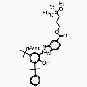 CCCCCC(C)(C)c1cc(-n2nc3ccc(C(=O)OCCC[Si](CC)(OCC)OCC)cc3n2)c(O)c(C(C)(C)c2ccccc2)c1